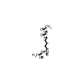 C[PH](=O)O[PH](=O)CCCCC[PH](=O)O[PH](C)=O